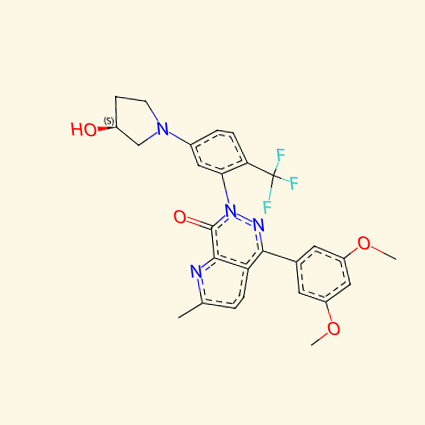 COc1cc(OC)cc(-c2nn(-c3cc(N4CC[C@H](O)C4)ccc3C(F)(F)F)c(=O)c3nc(C)ccc23)c1